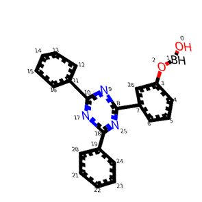 OBOc1cccc(-c2nc(-c3ccccc3)nc(-c3ccccc3)n2)c1